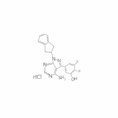 Cl.Nc1ncnc2c1c(-c1cc(O)c(F)c(F)c1)nn2C1Cc2ccccc2C1